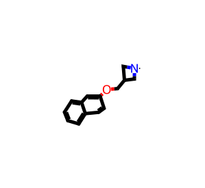 c1ccc2cc(OCC3C[N]C3)ccc2c1